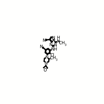 CNc1nc(Nc2cc(C#N)cc(N3CCN(C4COC4)C[C@@H]3C)c2Cl)nc2c(C#N)cnn12